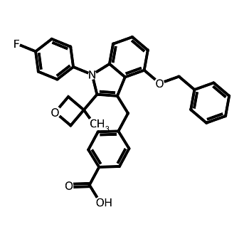 CC1(c2c(Cc3ccc(C(=O)O)cc3)c3c(OCc4ccccc4)cccc3n2-c2ccc(F)cc2)COC1